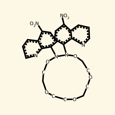 O=[N+]([O-])c1ccc(N2OCCOCCOCCOCCON2c2ccc([N+](=O)[O-])c3cccnc23)c2ncccc12